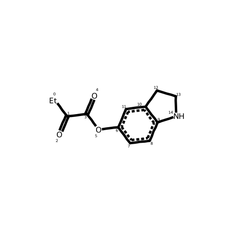 CCC(=O)C(=O)Oc1ccc2c(c1)CCN2